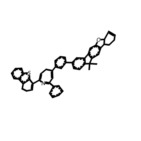 CC1(C)c2ccc(-c3cccc(C4=CC(c5ccccc5)=NC(C5=CCCc6c5sc5ccccc65)=CC4)c3)cc2-c2cc3c(cc21)C1CCC=CC1O3